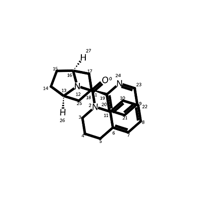 O=C(N1CCCc2ccccc21)N1[C@@H]2CC[C@H]1C[C@@H](c1ccccn1)C2